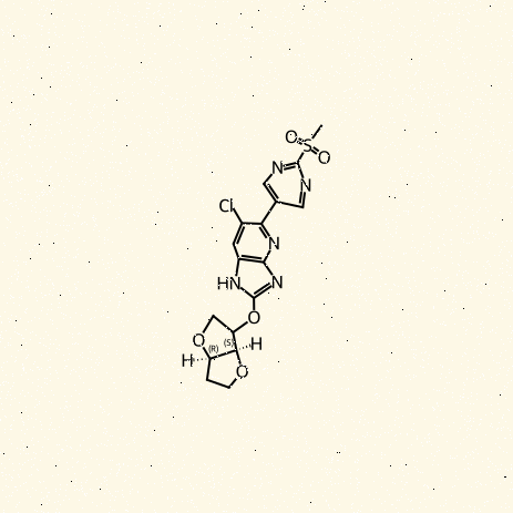 CS(=O)(=O)c1ncc(-c2nc3nc(OC4CO[C@@H]5CCO[C@H]45)[nH]c3cc2Cl)cn1